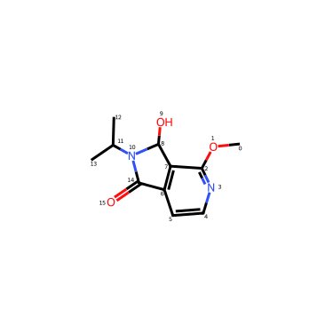 COc1nccc2c1C(O)N(C(C)C)C2=O